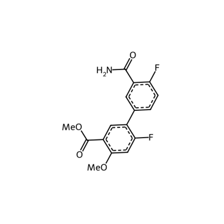 COC(=O)c1cc(-c2ccc(F)c(C(N)=O)c2)c(F)cc1OC